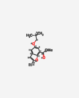 C=C(C)COc1cc(C(=O)OC)c2oc(CC)cc2c1